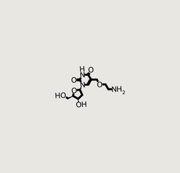 NCCOCc1cn([C@H]2C[C@H](O)[C@@H](CO)O2)c(=O)[nH]c1=O